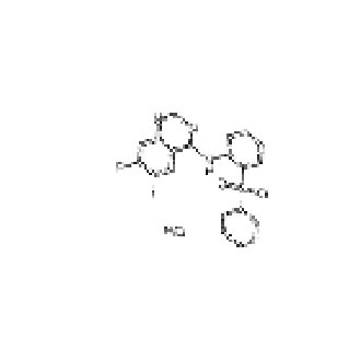 Cl.O=S(=O)(c1ccccc1)c1ccccc1Nc1ncnc2cc(F)c(I)cc12